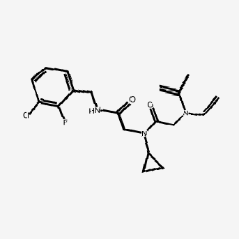 C=CN(CC(=O)N(CC(=O)NCc1cccc(Cl)c1F)C1CC1)C(=C)C